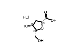 Cl.O=C(O)[C@H]1C[C@H](O)[C@@H](CO)O1